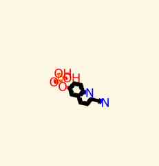 N#Cc1ccc2cc(OP(=O)(O)O)ccc2n1